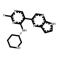 Fc1ncc(-c2cnc3[nH]ccc3n2)c(N[C@H]2CCCNC2)n1